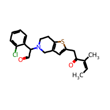 C/C=C(/C)C(=O)Cc1cc2c(s1)CCN(C(C=O)c1ccccc1Cl)C2